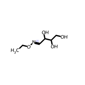 CCO/N=C/C(O)C(O)CO